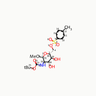 CO[C@H]1O[C@H](COS(=O)(=O)c2ccc(C)cc2)[C@@H](O)[C@H](O)[C@H]1NC(=O)OC(C)(C)C